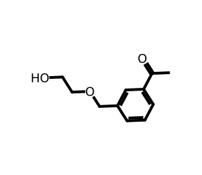 CC(=O)c1cccc(COCCO)c1